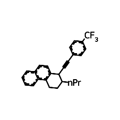 CCCC1CCc2c(ccc3ccccc23)C1C#Cc1ccc(C(F)(F)F)cc1